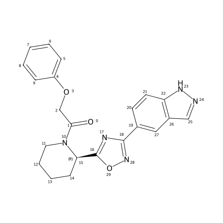 O=C(COc1ccccc1)N1CCCC[C@@H]1c1nc(-c2ccc3[nH]ncc3c2)no1